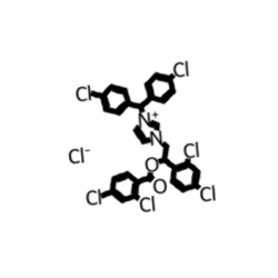 O=C(OC(Cn1cc[n+](C(c2ccc(Cl)cc2)c2ccc(Cl)cc2)c1)c1ccc(Cl)cc1Cl)c1ccc(Cl)cc1Cl.[Cl-]